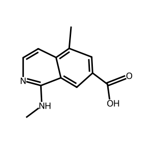 CNc1nccc2c(C)cc(C(=O)O)cc12